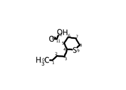 CCCCC1CCCCS1.O=CO